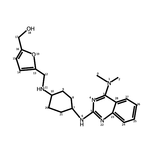 CN(C)c1nc(NC2CCC(NCc3ccc(CO)o3)CC2)nc2ccccc12